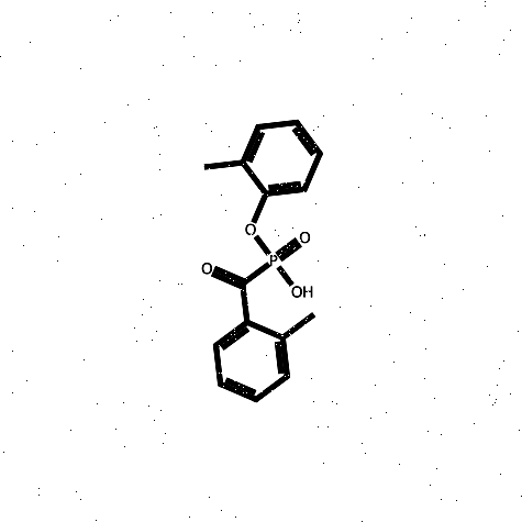 Cc1ccccc1OP(=O)(O)C(=O)c1ccccc1C